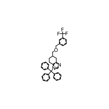 FC(F)(F)c1cccc(COCC2CCc3c(ncn3C(c3ccccc3)(c3ccccc3)c3ccccc3)C2)c1